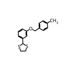 Cc1ccc(COc2cccc(C3SCCS3)c2)cc1